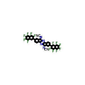 N#C/N=c1\c2cc(-c3cc4c(F)c(F)c(F)c(F)c4c(F)c3F)ccc2c2nc3/c(=N/C#N)c4cc(-c5c(F)c(F)c6c(F)c(F)c(F)c(F)c6c5F)ccc4c3nc12